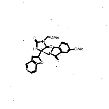 COCN1C(=O)N[C@@](CN2Cc3ccc(OC)cc3C2=O)(c2cc3cnccc3o2)C1=O